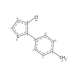 [CH2]c1ccc(-c2sccc2Cl)cc1